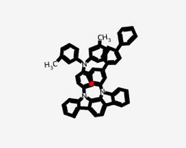 Cc1cccc(N(c2ccc(-n3c4ccccc4c4ccc5c6ccccc6n(-c6cccc(-c7ccc(-c8ccccc8)cc7)c6)c5c43)cc2)c2cccc(C)c2)c1